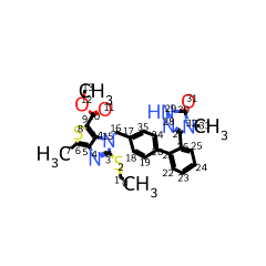 CCSc1nc2c(C)sc(C(=O)OC)c2n1Cc1ccc(-c2ccccc2-c2n[nH]c(=O)n2C)cc1